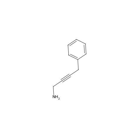 NCC#CCc1ccccc1